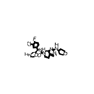 O=C(N[C@H](c1ccc(F)c(Cl)c1)[C@@H]1CNCCO1)N1CCc2cnc(NC3CCOCC3)nc2C1